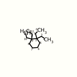 CCC1(CC)CCCCC1(CC)CC